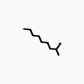 [CH2]CCCCCCC(C)F